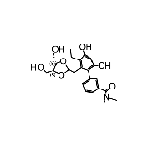 CCc1c(O)cc(O)c(-c2cccc(C(=O)N(C)C)c2)c1CC1O[C@@H](CO)[C@H](CO)O1